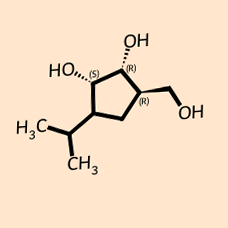 CC(C)C1C[C@H](CO)[C@@H](O)[C@H]1O